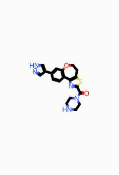 O=C(c1nc2c(s1)CCOc1cc(-c3cn[nH]c3)ccc1-2)N1CCNCC1